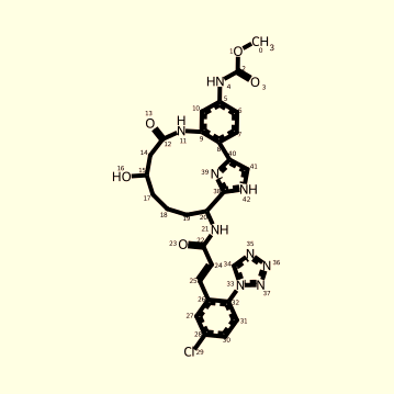 COC(=O)Nc1ccc2c(c1)NC(=O)CC(O)CCCC(NC(=O)/C=C/c1cc(Cl)ccc1-n1cnnn1)c1nc-2c[nH]1